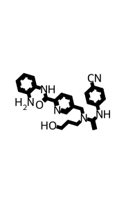 C=C(Nc1ccc(C#N)cc1)N(CCCO)Cc1ccc(C(=O)Nc2ccccc2N)nc1